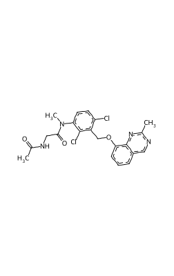 CC(=O)NCC(=O)N(C)c1ccc(Cl)c(COc2cccc3cnc(C)nc23)c1Cl